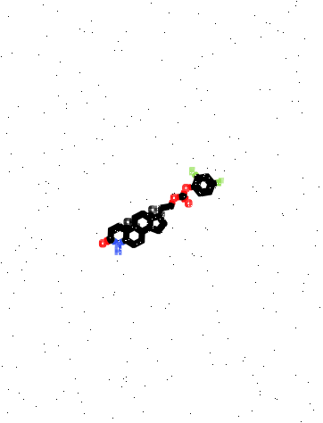 CC12C=CC(=O)NC1CCC1C2CCC2(C)C1CC[C@@H]2CCOC(=O)Oc1ccc(F)cc1F